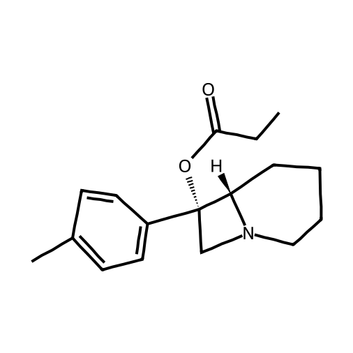 CCC(=O)O[C@@]1(c2ccc(C)cc2)CN2CCCC[C@H]21